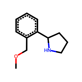 COCc1ccccc1C1CCCN1